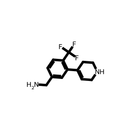 NCc1ccc(C(F)(F)F)c(C2=CCNCC2)c1